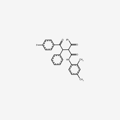 Cc1ccc(NC(=O)C(C(=O)C(C)C)C(C(=O)c2ccc(F)cc2)c2ccccc2)c(C)c1